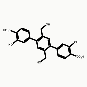 O=C(O)c1ccc(-c2cc(CO)c(-c3ccc(C(=O)O)c(O)c3)cc2CO)cc1O